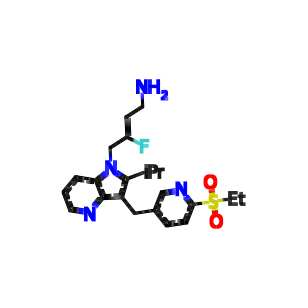 CCS(=O)(=O)c1ccc(Cc2c(C(C)C)n(C/C(F)=C/CN)c3cccnc23)cn1